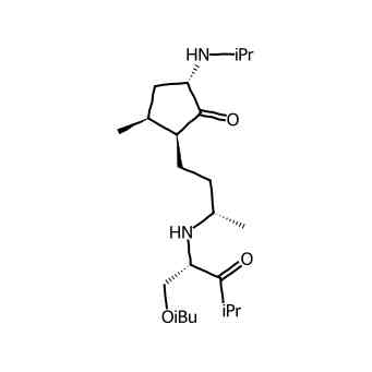 CC(C)COC[C@H](N[C@@H](C)CC[C@@H]1C(=O)[C@@H](NC(C)C)C[C@@H]1C)C(=O)C(C)C